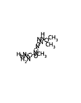 Cc1cc(C)cc(Nc2ncc3c(n2)CN(C2CCN(C(=O)c4ccc(NN)c(N)c4)C(C)C2)C3)c1